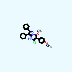 COc1ccc(C2=C(Cl)Nc3c(C4=CCCCC4)c(-c4ccccc4)nn3C2OC)cc1